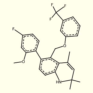 COc1cc(F)ccc1-c1ccc2c(c1COc1cccc(C(F)(F)F)c1)C(C)=CC(C)(C)N2